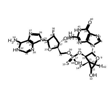 Nc1nc2c(ncn2[C@@H]2O[C@@H]3C(O)[C@]3(F)[C@H]2OP(O)(=S)OC[C@H]2O[C@@H](n3cnc4c3N=CNC4N)[C@@H](F)[C@@H]2O)c(=O)[nH]1